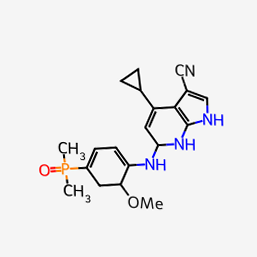 COC1CC(P(C)(C)=O)=CC=C1NC1C=C(C2CC2)c2c(C#N)c[nH]c2N1